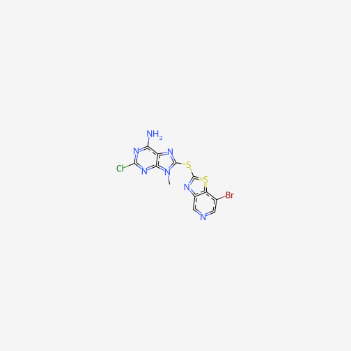 Cn1c(Sc2nc3cncc(Br)c3s2)nc2c(N)nc(Cl)nc21